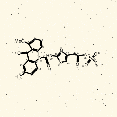 COc1ccccc1C(=O)c1cc(C)ccc1NC(=O)Nc1nc(CC(=O)NS(C)(=O)=O)cs1